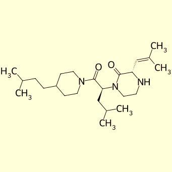 CC(C)=C[C@@H]1NCCN([C@@H](CC(C)C)C(=O)N2CCC(CCC(C)C)CC2)C1=O